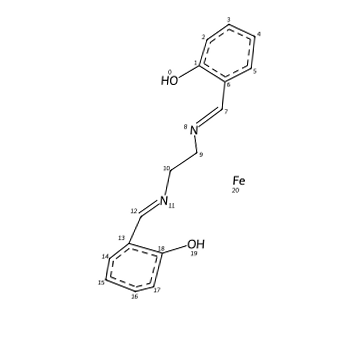 Oc1ccccc1/C=N/CC/N=C/c1ccccc1O.[Fe]